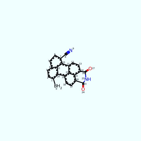 Bc1ccc2ccc(C#N)c3c4ccc5c6c(ccc(c1c23)c64)C(=O)NC5=O